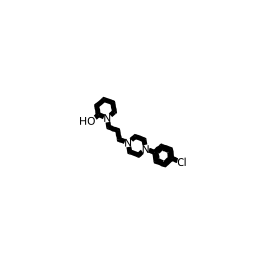 OC1CCCCN1CCCN1CCN(c2ccc(Cl)cc2)CC1